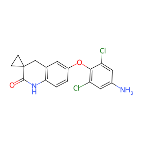 Nc1cc(Cl)c(Oc2ccc3c(c2)CC2(CC2)C(=O)N3)c(Cl)c1